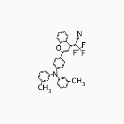 Cc1cccc(N(c2ccc(C3=C/C(=C(/C#N)C(F)(F)F)c4ccccc4O3)cc2)c2cccc(C)c2)c1